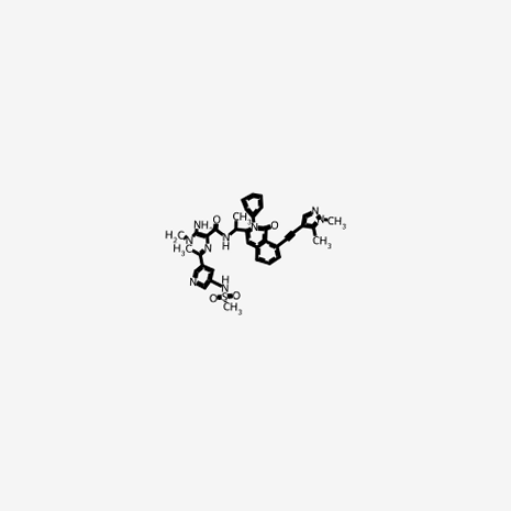 C=N/C(N)=C(\N=C(/C)c1cncc(NS(C)(=O)=O)c1)C(=O)NC(C)c1cc2cccc(C#Cc3cnn(C)c3C)c2c(=O)n1-c1ccccc1